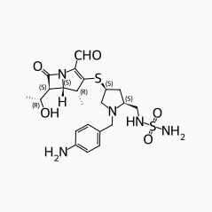 C[C@@H](O)[C@H]1C(=O)N2C(C=O)=C(S[C@H]3C[C@@H](CNS(N)(=O)=O)N(Cc4ccc(N)cc4)C3)[C@H](C)[C@H]12